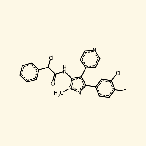 Cn1nc(-c2ccc(F)c(Cl)c2)c(-c2ccncc2)c1NC(=O)C(Cl)c1ccccc1